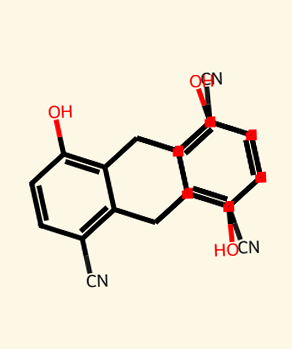 N#Cc1ccc(O)c2c1C1c3c(O)ccc(C#N)c3C2c2c(C#N)ccc(O)c21